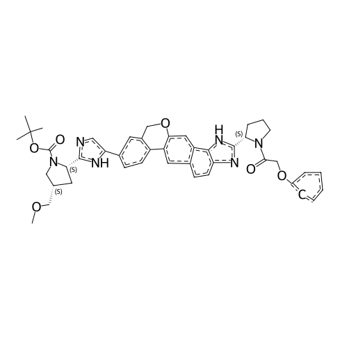 COC[C@H]1C[C@@H](c2ncc(-c3ccc4c(c3)COc3cc5c(ccc6nc([C@@H]7CCCN7C(=O)COc7ccccc7)[nH]c65)cc3-4)[nH]2)N(C(=O)OC(C)(C)C)C1